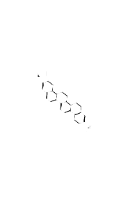 COc1ccc2c(ccc3c2ccc2c4ccc5cc(OC)ccc5c4ccc32)c1